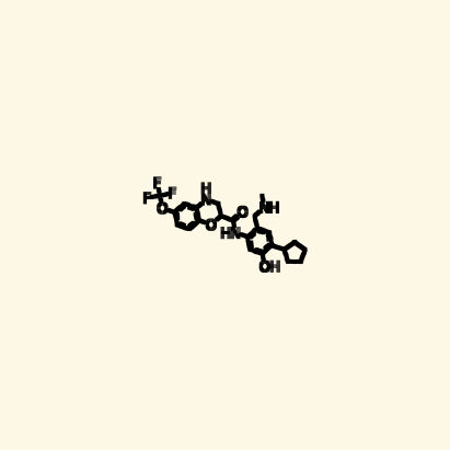 CNCc1cc(C2CCCC2)c(O)cc1NC(=O)C1CNc2cc(OC(F)(F)F)ccc2O1